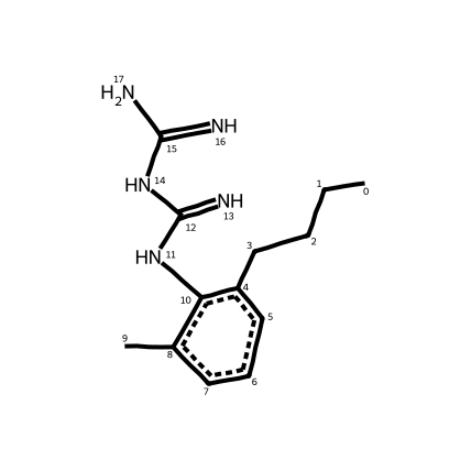 CCCCc1cccc(C)c1NC(=N)NC(=N)N